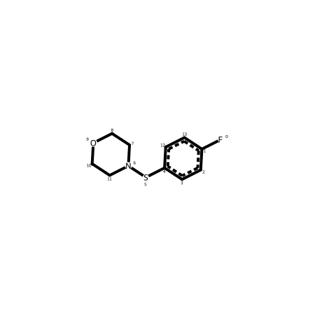 Fc1ccc(SN2CCOCC2)cc1